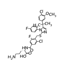 COc1cc(C(C)(C)c2cnc(SCc3c(F)cc(C(=O)N[C@@H](CCCN)C(=O)O)cc3Cl)n2-c2ccc(F)cc2)ccc1Cl